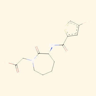 Bc1csc(C(=O)N[C@H]2CCCCN(CC(=O)O)C2=O)c1